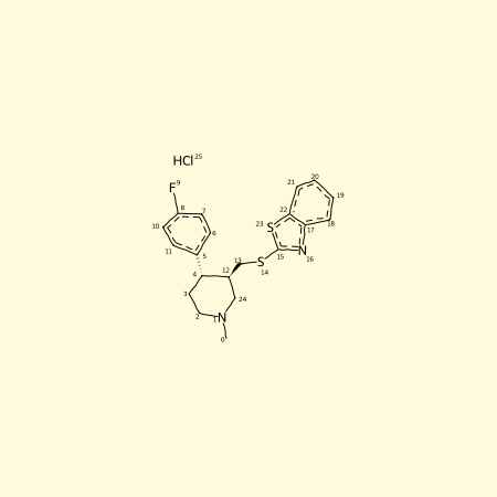 CN1CC[C@H](c2ccc(F)cc2)[C@@H](CSc2nc3ccccc3s2)C1.Cl